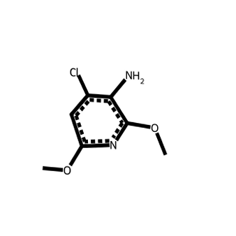 COc1cc(Cl)c(N)c(OC)n1